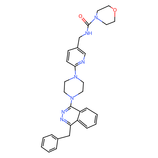 O=C(NCc1ccc(N2CCN(c3nnc(Cc4ccccc4)c4ccccc34)CC2)nc1)N1CCOCC1